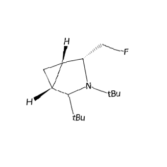 CC(C)(C)C1[C@@H]2C[C@@H]2[C@H](CF)N1C(C)(C)C